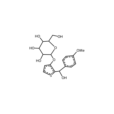 COc1ccc(C(O)c2sccc2OC2OC(CO)C(O)C(O)C2O)cc1